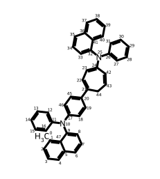 Cc1cccc2cccc(N(c3ccccc3)c3ccc(C4=CC=C(N(c5ccccc5)c5cccc6ccccc56)C=CC4)cc3)c12